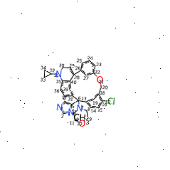 Cn1cncc1C1(N2CCOCC2)c2ccc(Cl)c(c2)COc2cccc(c2)C2=CCN(C3CC3)c3ccc1cc32